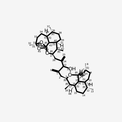 C=C(C[C@H]1O[C@@H]2O[C@]3(C)CC[C@H]4[C@H](C)CC[C@@H]([C@H]1C)[C@@]24OO3)C(O)C(=C)C[C@H]1O[C@@H]2O[C@]3(C)CC[C@H]4[C@H](C)CC[C@@H]([C@H]1C)[C@@]24OO3